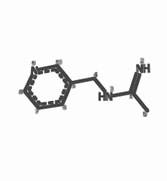 CC(=N)NCc1cccnc1